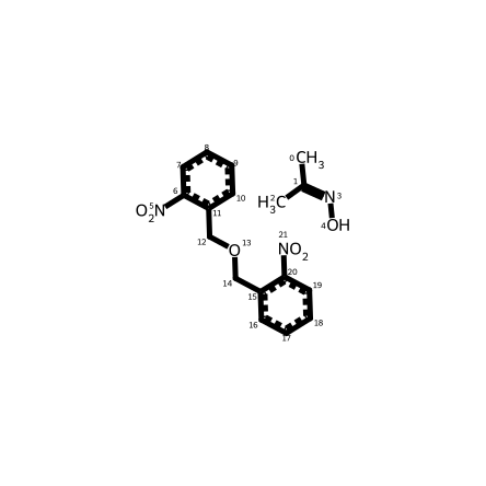 CC(C)=NO.O=[N+]([O-])c1ccccc1COCc1ccccc1[N+](=O)[O-]